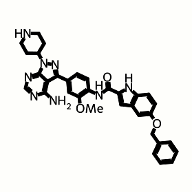 COc1cc(-c2nn(C3CCNCC3)c3ncnc(N)c23)ccc1NC(=O)c1cc2cc(OCc3ccccc3)ccc2[nH]1